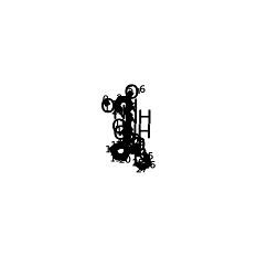 COc1cc(OC)nc(NC(=O)NS(=O)(=O)c2ccccc2C(=O)N2CCCC2)n1